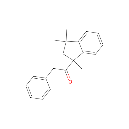 CC1(C)CC(C)(C(=O)Cc2ccccc2)c2ccccc21